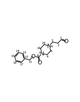 O=[C]CCN1CCN(C(=O)OCc2ccccc2)CC1